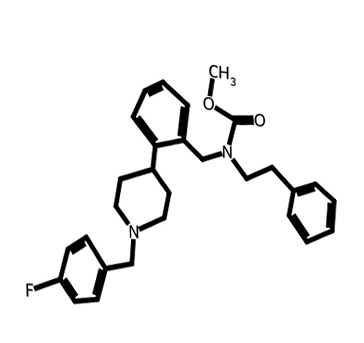 COC(=O)N(CCc1ccccc1)Cc1ccccc1C1CCN(Cc2ccc(F)cc2)CC1